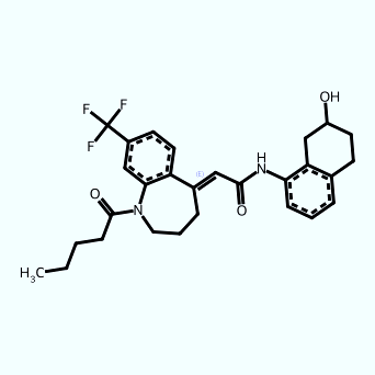 CCCCC(=O)N1CCC/C(=C\C(=O)Nc2cccc3c2CC(O)CC3)c2ccc(C(F)(F)F)cc21